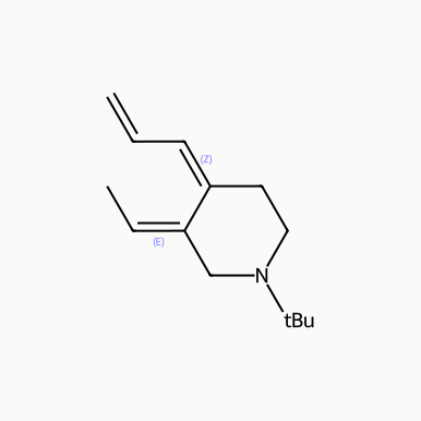 C=C/C=C1/CCN(C(C)(C)C)C/C1=C/C